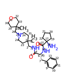 CC1(CNC(=O)[C@@H](Cc2ccccc2)NC(=O)C2(N)CCCC2)CCN(CC2(C)CCOCC2)CC1